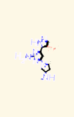 CNC1CCN(c2cc(-c3[nH]ncc3OC)nc(N)n2)C1